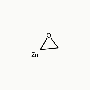 C1CO1.[Zn]